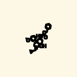 COc1cccc(C23CCN(CC4CC4)CC2(O)CCC(NC(=O)OCc2ccccc2)C3)c1